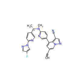 C#Cc1cc(-c2ccc(N(C)[C@@H](C)c3ccc(-n4cc(F)cn4)nc3)nc2)c2c(C#N)cnn2c1